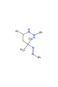 CC(=O)C(CC(C)(C#N)N=NC(C)C)NNC(C)C